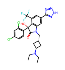 CCN(CC)[C@H]1C[C@H](CN2C(=O)C(O)(c3ccc(Cl)cc3Cl)c3c2cc(-c2nn[nH]n2)cc3C(F)(F)F)C1